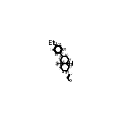 CC=C[C@@H]1CC[C@@H]2CC(c3ccc(CC)cc3)CC[C@@H]2C1